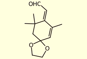 CC1=CC2(CC(C)(C)C1=CC=O)OCCO2